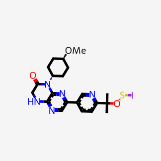 CO[C@H]1CC[C@H](N2C(=O)CNc3ncc(-c4ccc(C(C)(C)OSI)nc4)nc32)CC1